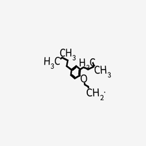 [CH2]CCOc1ccc(CCC(C)C)cc1CCC(C)C